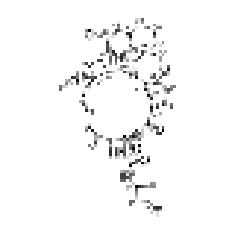 CO[C@H]1/C=C/C[C@H](C)C[S@@](=O)(NC(=O)N[C@H]2C[C@H](F)C2)=NC(=O)c2ccc3c(c2)N(C[C@@H]2CC[C@H]21)C[C@@]1(CCCc2cc(Cl)ccc21)CO3